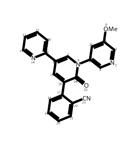 COc1cncc(-n2cc(-c3ccccn3)cc(-c3ccccc3C#N)c2=O)c1